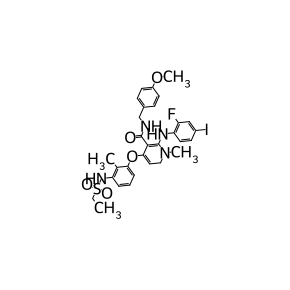 CCS(=O)(=O)Nc1cccc(OC2=CCN(C)C(Nc3ccc(I)cc3F)=C2C(=O)NCc2ccc(OC)cc2)c1C